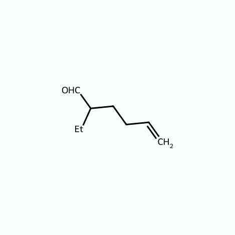 C=CCCC(C=O)CC